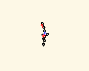 CC(C)(C)c1ccc(-c2ccc3c(c2)C(C)(C)c2ccc(-c4ccccc4N(c4ccccc4)c4ccc(-c5ccc6c(c5)oc5ccccc56)cc4)cc2-3)cc1